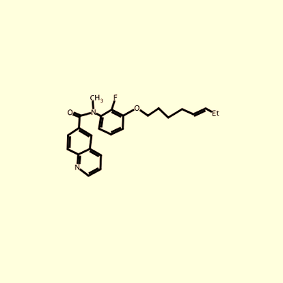 CCC=CCCCCOc1cccc(N(C)C(=O)c2ccc3ncccc3c2)c1F